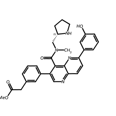 COC(=O)Cc1cccc(-c2cnc3ccc(-c4cccc(O)c4)nc3c2C(=O)N(C)C[C@@H]2CCCN2)c1